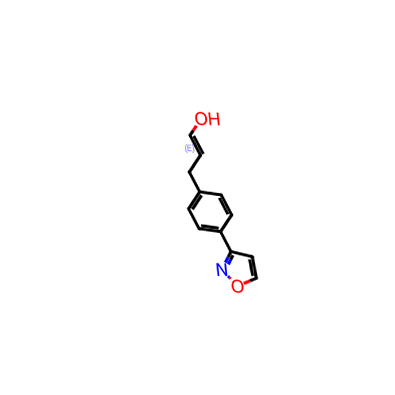 O/C=C/Cc1ccc(-c2ccon2)cc1